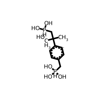 CC(C)(C[PH](O)(O)O)c1[c]cc(C[PH](O)(O)O)cc1